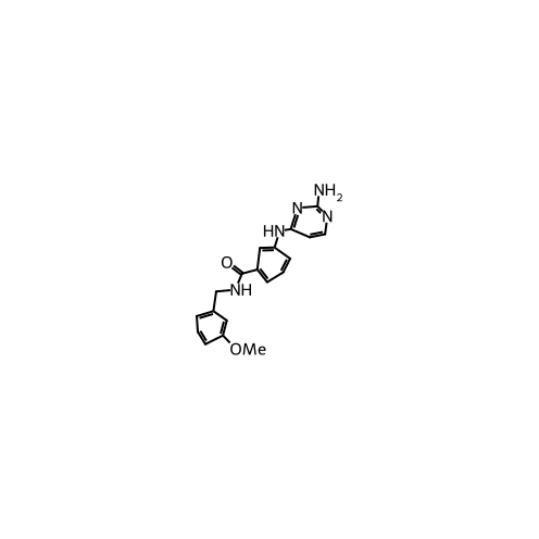 COc1cccc(CNC(=O)c2cccc(Nc3ccnc(N)n3)c2)c1